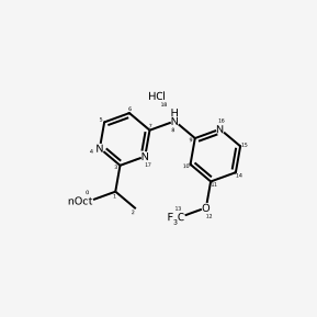 CCCCCCCCC(C)c1nccc(Nc2cc(OC(F)(F)F)ccn2)n1.Cl